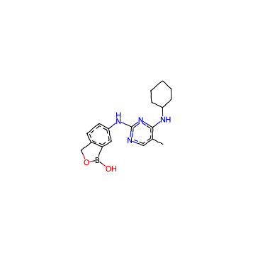 Cc1cnc(Nc2ccc3c(c2)B(O)OC3)nc1NC1CCCCC1